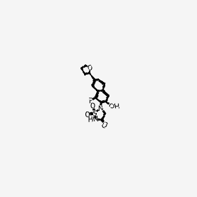 O=C1CN(c2c(O)cc3ccc(C4CCCO4)cc3c2F)S(=O)(=O)N1